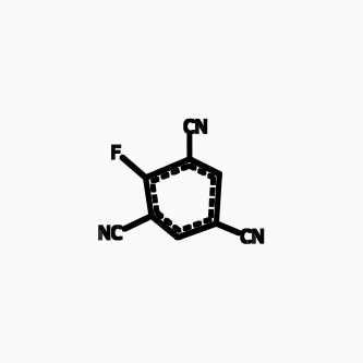 N#Cc1cc(C#N)c(F)c(C#N)c1